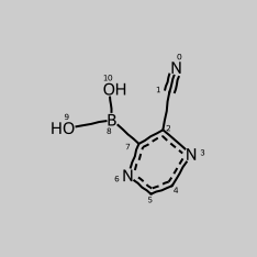 N#Cc1nccnc1B(O)O